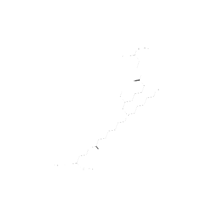 CCCCCCCC(CCCCCC)CCOC(=O)CCCCCCN(CCCCCO)CC(CO)CCCCC(=O)OCCC(CCCCCC)CCCCCCC